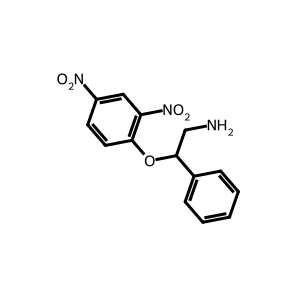 NCC(Oc1ccc([N+](=O)[O-])cc1[N+](=O)[O-])c1ccccc1